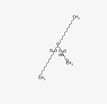 CCCCCCCCCCCCCCOC(COC(=O)CCCCCCCCCCCCC)COC(=O)NCCOC